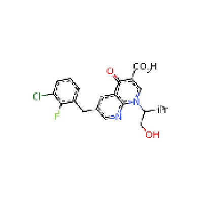 CC(C)C(CO)n1cc(C(=O)O)c(=O)c2cc(Cc3cccc(Cl)c3F)cnc21